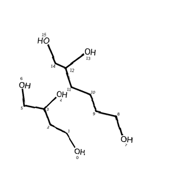 OCCC(O)CO.OCCCCC(O)CO